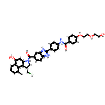 Cc1cccc2c(O)cc3c(c12)[C@H](CCl)CN3C(=O)c1ccc2[nH]c(-c3ccc(NC(=O)c4ccc(OCCOCCO)cc4)cc3)nc2c1